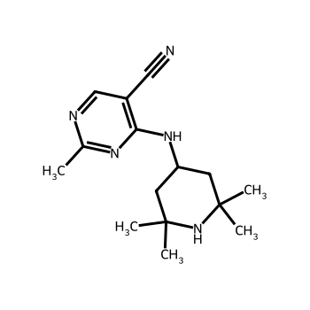 Cc1ncc(C#N)c(NC2CC(C)(C)NC(C)(C)C2)n1